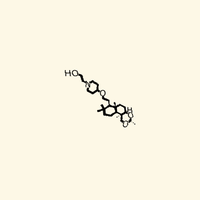 C[C@@H]1OC[C@@]2(C)C3CCC(C)(C)[C@@H](CCOC4CCN(CCO)CC4)[C@]3(C)CC[C@H]2O1